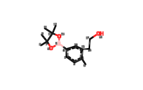 Cc1ccc(B2OC(C)(C)C(C)(C)O2)cc1CCO